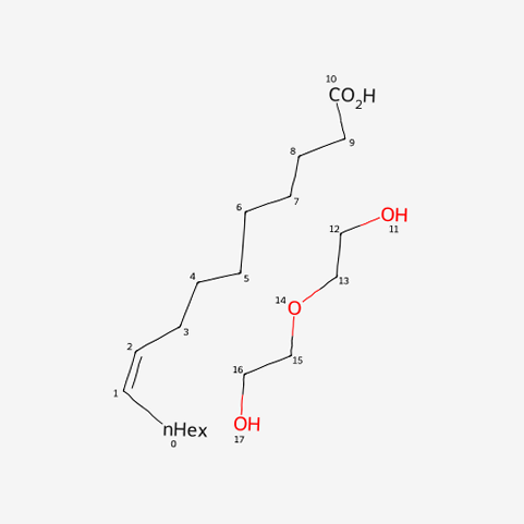 CCCCCC/C=C\CCCCCCCC(=O)O.OCCOCCO